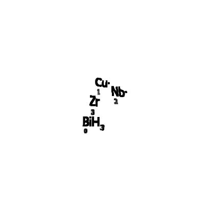 [BiH3].[Cu].[Nb].[Zr]